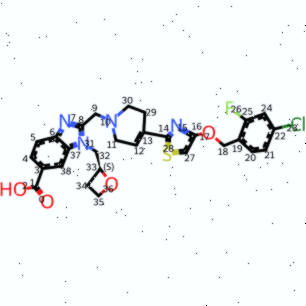 O=C(O)c1ccc2nc(CN3CC=C(c4nc(OCc5ccc(Cl)cc5F)cs4)CC3)n(C[C@@H]3CCO3)c2c1